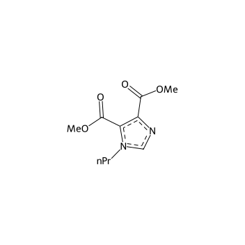 CCCn1cnc(C(=O)OC)c1C(=O)OC